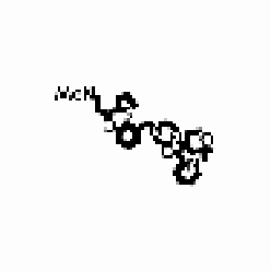 CNCCC(Oc1cccc(CN2CCN([C@]3(C(=O)c4ccccn4)CCOC(C)(C)C3)CC2)c1)c1cccs1